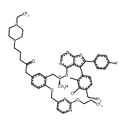 Cc1c(-c2c(-c3ccc(F)cc3)sc3ncnc(O[C@H](Cc4cc(CC(=O)CCCN5CCN(CC(F)(F)F)CC5)ccc4OCc4ccnc(OCCC(F)(F)F)n4)C(=O)O)c23)ccc(CN)c1Cl